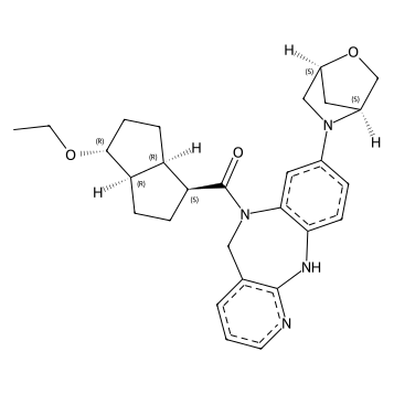 CCO[C@@H]1CC[C@@H]2[C@H]1CC[C@@H]2C(=O)N1Cc2cccnc2Nc2ccc(N3C[C@@H]4C[C@H]3CO4)cc21